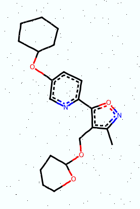 Cc1noc(-c2ccc(OC3CCCCC3)cn2)c1COC1CCCCO1